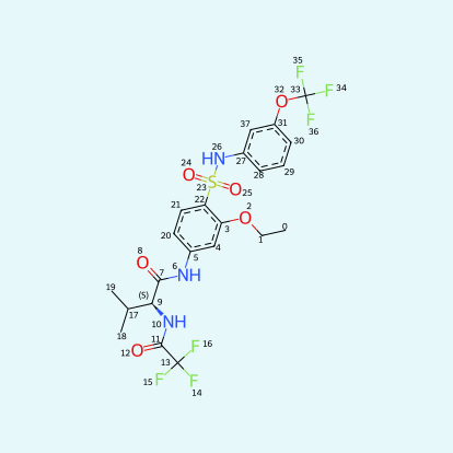 CCOc1cc(NC(=O)[C@@H](NC(=O)C(F)(F)F)C(C)C)ccc1S(=O)(=O)Nc1cccc(OC(F)(F)F)c1